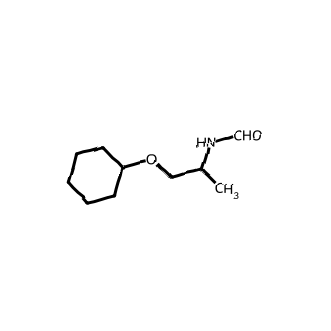 CC(COC1CCCCC1)NC=O